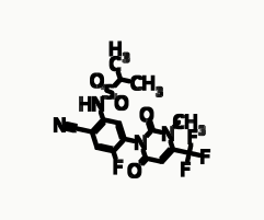 CC(C)S(=O)(=O)Nc1cc(-n2c(=O)cc(C(F)(F)F)n(C)c2=O)c(F)cc1C#N